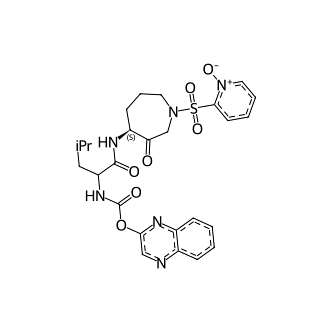 CC(C)CC(NC(=O)Oc1cnc2ccccc2n1)C(=O)N[C@H]1CCCN(S(=O)(=O)c2cccc[n+]2[O-])CC1=O